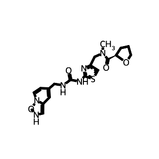 CN(Cc1csc(NC(=O)NCC2=CC3=CNON3C=C2)n1)C(=O)[C@H]1CCCO1